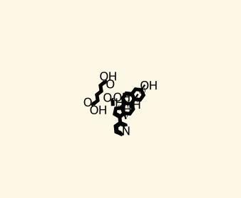 CC(=O)O.C[C@]12CC[C@H](O)CC1=CC[C@@H]1[C@@H]2CC[C@]2(C)C(c3cccnc3)=CC[C@@H]12.O=C(O)CCCCC(=O)O